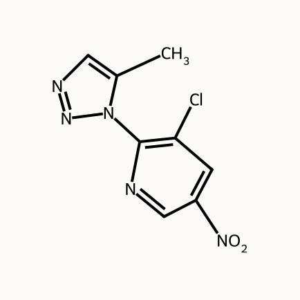 Cc1cnnn1-c1ncc([N+](=O)[O-])cc1Cl